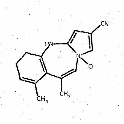 CC1=CCCC2=C1C(C)=C[N+]1([O-])C=C(C#N)C=C1N2